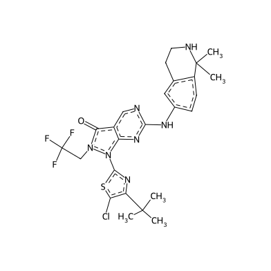 CC(C)(C)c1nc(-n2c3nc(Nc4ccc5c(c4)CCNC5(C)C)ncc3c(=O)n2CC(F)(F)F)sc1Cl